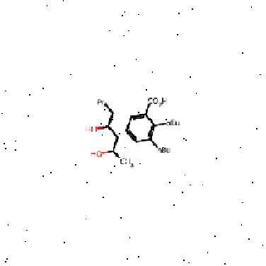 CC(C)CC(O)CC(C)O.CCCCc1cccc(C(=O)O)c1CCCC